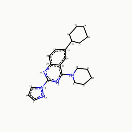 c1cnn(-c2nc(N3CCCCC3)c3cc(C4CCCCC4)ccc3n2)c1